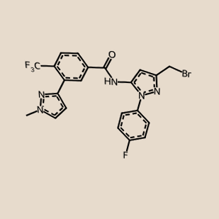 Cn1ccc(-c2cc(C(=O)Nc3cc(CBr)nn3-c3ccc(F)cc3)ccc2C(F)(F)F)n1